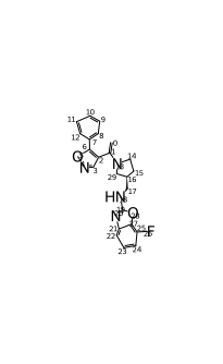 C=C(c1cnoc1-c1ccccc1)N1CC[C@@H](CNc2nc3cccc(F)c3o2)C1